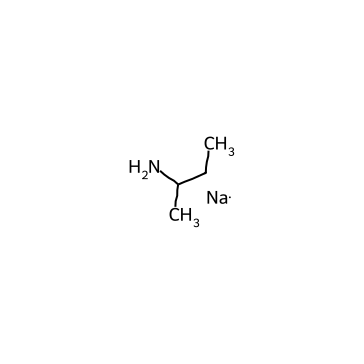 CCC(C)N.[Na]